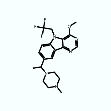 COc1ncnc2c3cc(C(C)N4CCN(C)CC4)ccc3n(CC(F)(F)F)c12